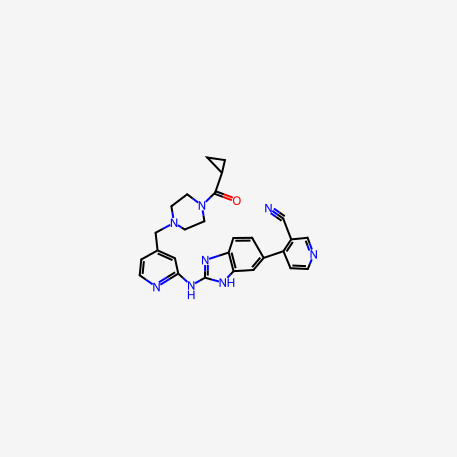 N#Cc1cnccc1-c1ccc2nc(Nc3cc(CN4CCN(C(=O)C5CC5)CC4)ccn3)[nH]c2c1